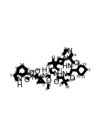 CC[C@@H]1C[C@]1(NC(=O)[C@@H]1C[C@@]2(CN1C(=O)[C@@H](NC(=O)[C@@H](NC(=O)c1cnccn1)C1CCCCC1)C(C)(C)C)C(C)(C)C21CCC1)C(=O)NS(=O)(=O)c1cccc2cc[nH]c12